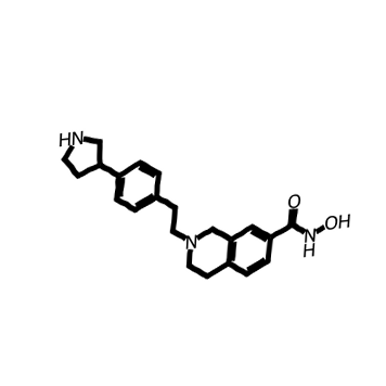 O=C(NO)c1ccc2c(c1)CN(CCc1ccc(C3CCNC3)cc1)CC2